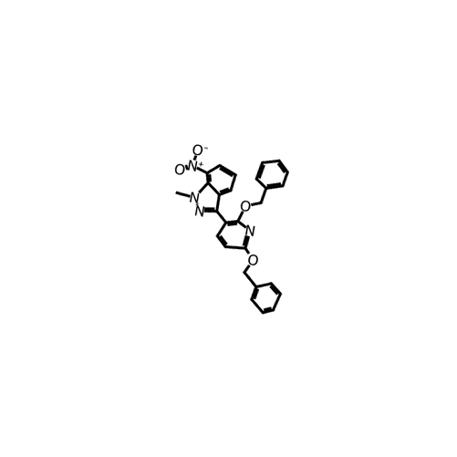 Cn1nc(-c2ccc(OCc3ccccc3)nc2OCc2ccccc2)c2cccc([N+](=O)[O-])c21